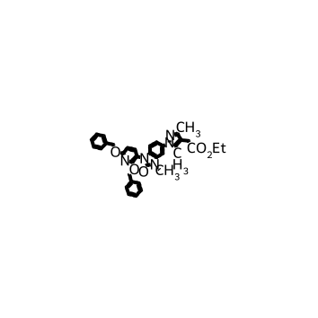 CCOC(=O)Cc1c(C)nn(-c2ccc3c(c2)n(C)c(=O)n3-c2ccc(OCc3ccccc3)nc2OCc2ccccc2)c1C